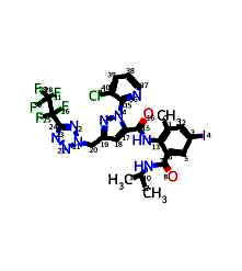 Cc1cc(I)cc(C(=O)NC(C)C)c1NC(=O)c1cc(Cn2nnc(C(F)(F)C(F)(F)F)n2)nn1-c1ncccc1Cl